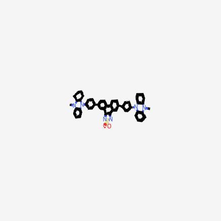 CN1c2ccccc2N(c2ccc(-c3ccc4c(c3)c3c(c5cc(-c6ccc(N7c8ccccc8N(C)c8ccccc87)cc6)ccc54)=NS(=O)(=O)N=3)cc2)c2ccccc21